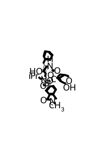 CC(C)CN(C[C@@H](O)[C@H](Cc1ccccc1)NC(=O)OC1C2COC(O)C(C2)C1C)S(=O)(=O)c1ccc2c(c1)C(=O)N(C)C2